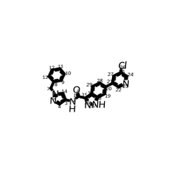 O=C(Nc1cnn(Cc2ccccc2)c1)c1n[nH]c2cc(-c3cncc(Cl)c3)ccc12